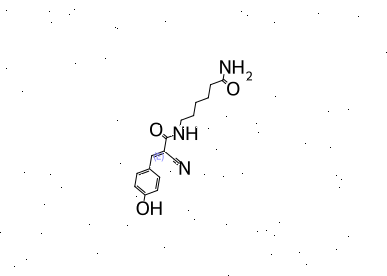 N#C/C(=C\c1ccc(O)cc1)C(=O)NCCCCCC(N)=O